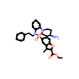 CCOC(=O)c1oc2ccc(S(=O)(=O)N(CCc3ccccc3)c3ccccc3N3CCC(N)CC3)cc2c1C